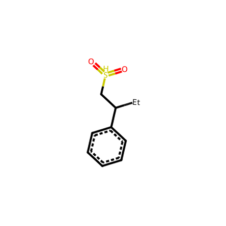 CCC(C[SH](=O)=O)c1ccccc1